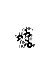 Cc1ncc(Nc2nc(N[C@H](c3cccc(F)c3)[C@H](C)NC(=O)O)c(F)cc2C(N)=O)cc1F